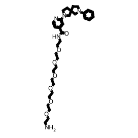 NCCOCCOCCOCCOCCOCCOCCNC(=O)c1ccnc(N2CCC3(CCN(c4ccccc4)C3)C2)c1